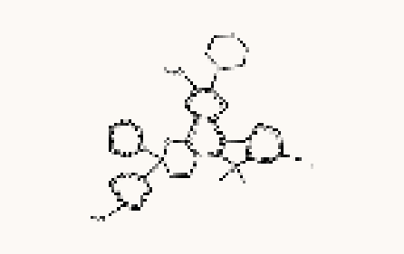 COc1ccc(C2(c3ccccc3)C=Cc3c4c(c5cc(N6CCOCC6)c(OC)cc5c3O2)-c2ccc(C(F)(F)F)cc2C4(C)C)cc1